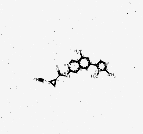 Cc1ncc(-c2cc(N)c3cnc(NC(=O)[C@H]4C[C@@H]4C#N)cc3c2)n1C